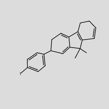 CC1(C)C2=CC(c3ccc(I)cc3)CC=C2C2=C1C=CCC2